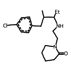 CCC(NCCN1CCCCC1=O)C(C)Cc1ccc(Cl)cc1